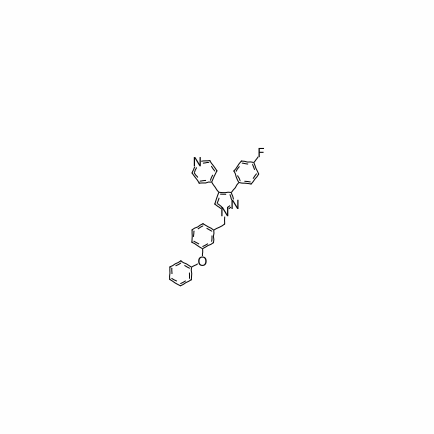 Fc1ccc(-c2nn(Cc3cccc(Oc4ccccc4)c3)cc2-c2ccncc2)cc1